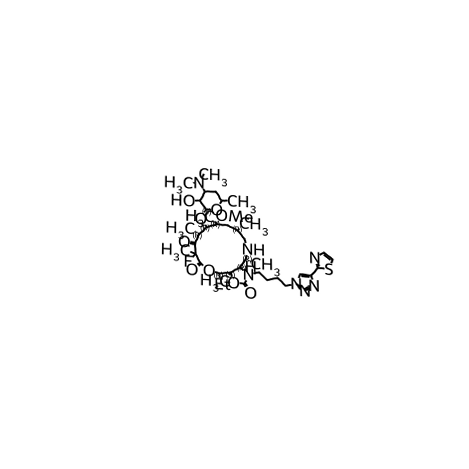 CC[C@H]1OC(=O)C(C)(F)C(=O)[C@H](C)[C@@H](O[C@@H]2OC(C)CC(N(C)C)C2O)[C@](C)(OC)C[C@@H](C)CN[C@H](C)[C@H]2N(CCCCn3cc(-c4nccs4)nn3)C(=O)O[C@]12C